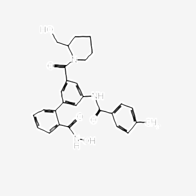 Cc1ccc(C(=O)Nc2cc(C(=O)N3CCCCC3CO)cc(-c3ccccc3C(=O)NO)c2)cc1